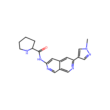 Cn1cc(-c2cc3cc(NC(=O)C4CCCCN4)ncc3cn2)cn1